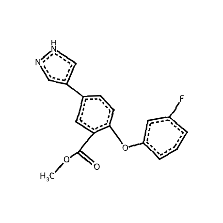 COC(=O)c1cc(-c2cn[nH]c2)ccc1Oc1cccc(F)c1